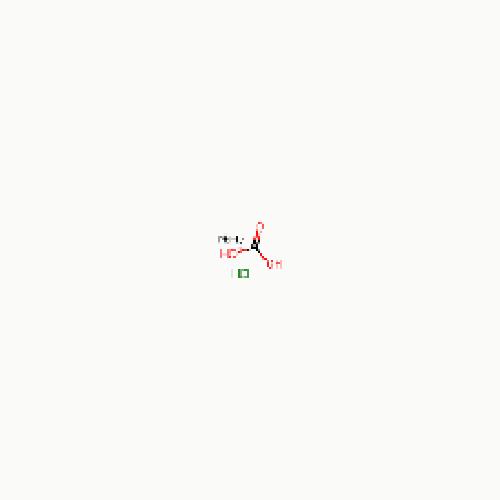 Cl.O=C(O)O.[PbH2]